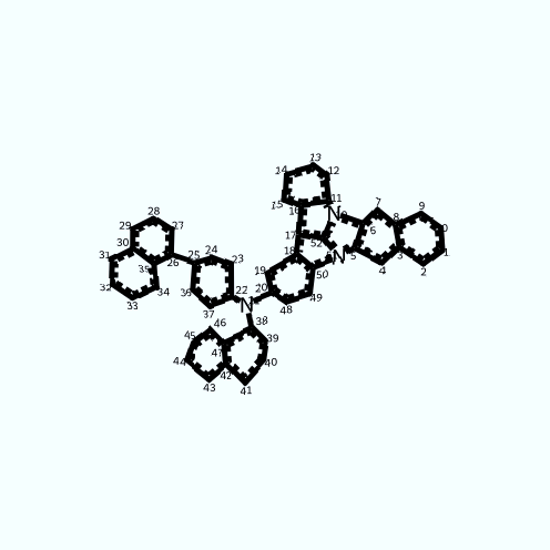 c1ccc2cc3c(cc2c1)n1c2ccccc2c2c4cc(N(c5ccc(-c6cccc7ccccc67)cc5)c5cccc6ccccc56)ccc4n3c21